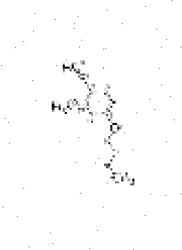 C#Cc1ccc(OCCCC)cc1C